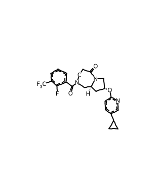 O=C(c1cccc(C(F)(F)F)c1F)N1CCC(=O)N2C[C@H](Oc3ccc(C4CC4)cn3)C[C@H]2C1